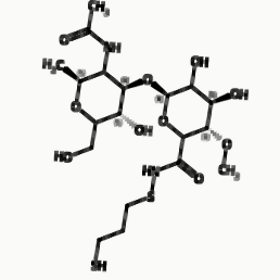 CO[C@@H]1C(C(=O)NSCCCS)O[C@@H](O[C@@H]2C(NC(C)=O)[C@H](C)OC(CO)[C@H]2O)C(O)[C@H]1O